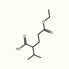 CCOC(=O)CCC(C(=O)O)C(C)C